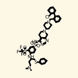 CN(C)CCC(CSc1ccccc1)Nc1ccc(S(=O)(=O)Nc2ncnc3c2CCN(C2CCN(Cc4ccccc4-c4ccccc4Cl)CC2)C3)cc1S(=O)(=O)C(F)(F)F